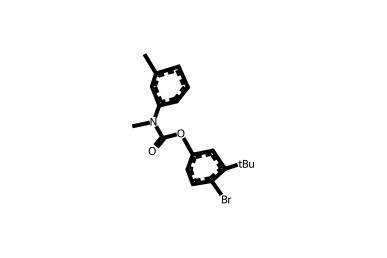 Cc1cccc(N(C)C(=O)Oc2ccc(Br)c(C(C)(C)C)c2)c1